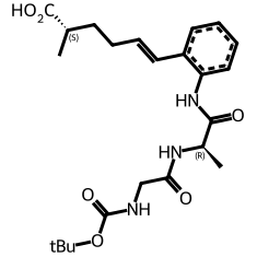 C[C@@H](CCC=Cc1ccccc1NC(=O)[C@@H](C)NC(=O)CNC(=O)OC(C)(C)C)C(=O)O